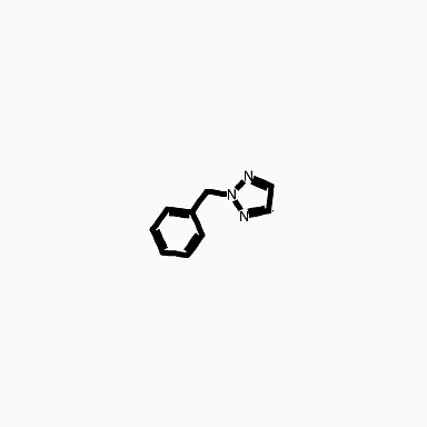 [c]1cnn(Cc2ccccc2)n1